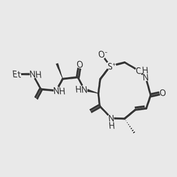 C=C(NCC)N[C@@H](C)C(=O)N[C@H]1C[S+]([O-])CCNC(=O)/C=C/[C@H](C)NC1=C